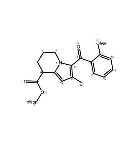 CCCCCCCCCOC(=O)C1CCCn2c1cc(C)c2C(=O)c1ccccc1OC